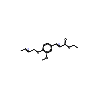 C/C=C/COc1ccc(/C=C/C(=O)OCC)cc1OC